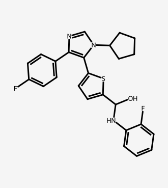 OC(Nc1ccccc1F)c1ccc(-c2c(-c3ccc(F)cc3)ncn2C2CCCC2)s1